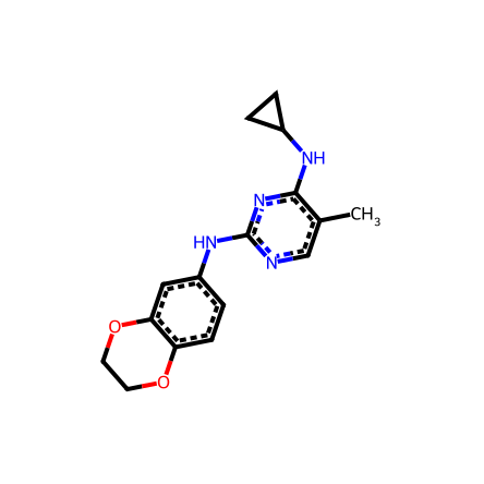 Cc1cnc(Nc2ccc3c(c2)OCCO3)nc1NC1CC1